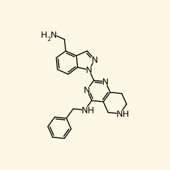 NCc1cccc2c1cnn2-c1nc2c(c(NCc3ccccc3)n1)CNCC2